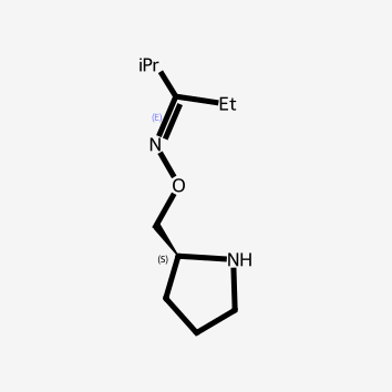 CC/C(=N\OC[C@@H]1CCCN1)C(C)C